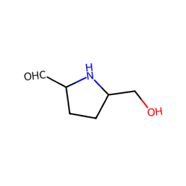 O=CC1CCC(CO)N1